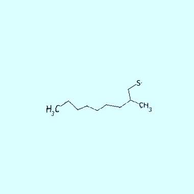 CCCCCCCC(C)C[S]